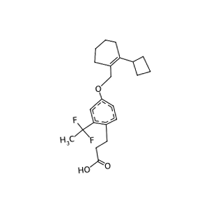 CC(F)(F)c1cc(OCC2=C(C3CCC3)CCCC2)ccc1CCC(=O)O